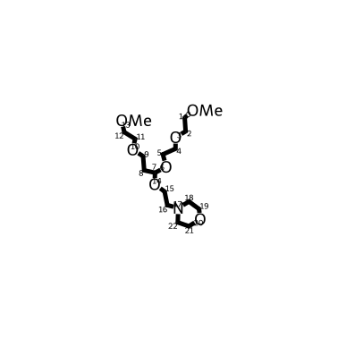 COCCOCCOC(CCOCCOC)OCCN1CCOCC1